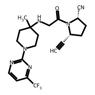 C#C[C@H]1CC[C@@H](C#N)N1C(=O)CNC1(C)CCN(c2nccc(C(F)(F)F)n2)CC1